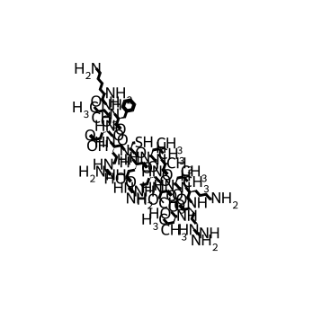 CC(C)C[C@H](NC(=O)[C@H](CCCNC(=N)N)NC(=O)[C@H](CCCCN)NC(=O)[C@H](CC(C)C)NC(=O)[C@@H](NC(=O)[C@H](CCCNC(=N)N)NC(=O)[C@H](C)NC(=O)[C@H](CC(C)C)NC(=O)[C@H](CCC(=O)O)NC(=O)[C@H](CS)NC(=O)[C@H](CCCNC(=N)N)NC(=O)[C@H](CCC(=O)O)NC(=O)[C@H](Cc1ccccc1)NC(=O)[C@@H](NC(=O)[C@@H](N)CCCCN)C(C)C)[C@@H](C)O)C(=O)O